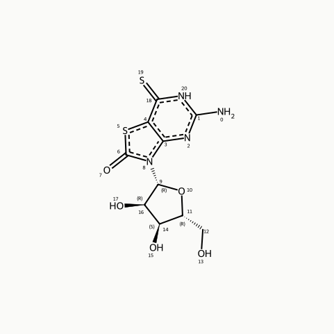 Nc1nc2c(sc(=O)n2[C@@H]2O[C@H](CO)[C@@H](O)[C@H]2O)c(=S)[nH]1